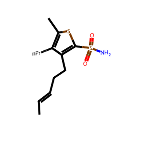 CC=CCCc1c(S(N)(=O)=O)sc(C)c1CCC